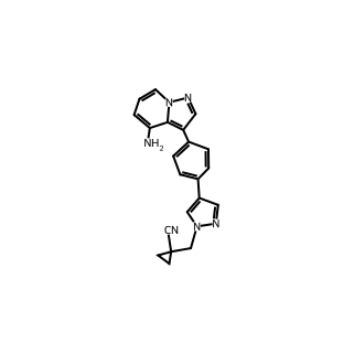 N#CC1(Cn2cc(-c3ccc(-c4cnn5cccc(N)c45)cc3)cn2)CC1